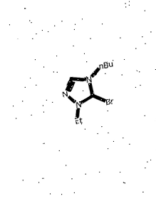 CCCCN1C=NN(CC)C1Br